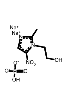 Cc1ncc([N+](=O)[O-])n1CCO.O=P([O-])([O-])O.[Na+].[Na+]